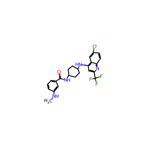 CNc1cccc(C(=O)NC2CCC(Nc3cc(C(F)(F)F)nc4ccc(Cl)cc34)CC2)c1